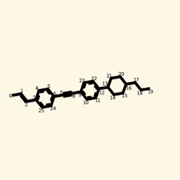 C/C=C/c1ccc(C#Cc2ccc(C3CCC(CCC)CC3)cc2)cc1